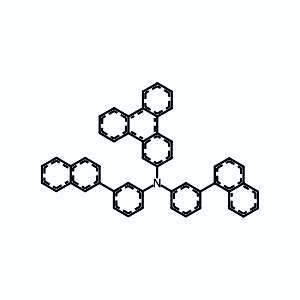 c1cc(-c2ccc3ccccc3c2)cc(N(c2cccc(-c3cccc4ccccc34)c2)c2ccc3c4ccccc4c4ccccc4c3c2)c1